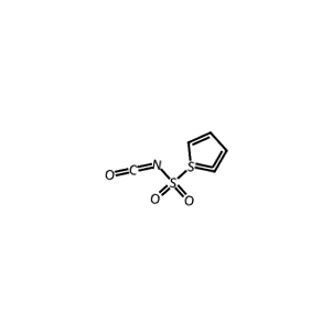 O=C=NS(=O)(=O)S1=C=CC=C1